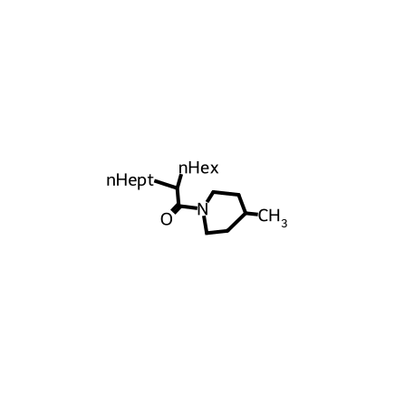 CCCCCCCC(CCCCCC)C(=O)N1CCC(C)CC1